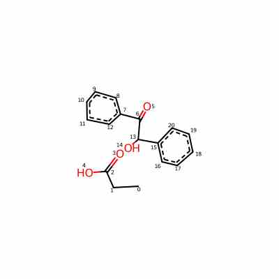 CCC(=O)O.O=C(c1ccccc1)C(O)c1ccccc1